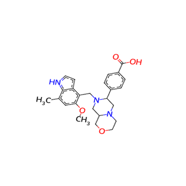 COc1cc(C)c2[nH]ccc2c1CN1CC2COCCN2CC1c1ccc(C(=O)O)cc1